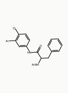 CC(=O)NC(Cc1ccccc1)C(=O)Nc1ccc(Cl)c(C(C)=O)c1